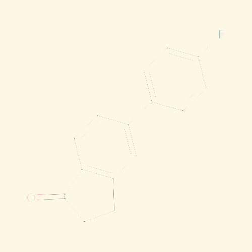 O=C1CCc2cc(-c3ccc(F)cc3)ccc21